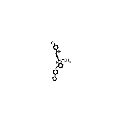 CCn1c(C#CCNc2ccc(Cl)cc2)nc2c(CN3CCC(N4CCCC4)CC3)cccc21